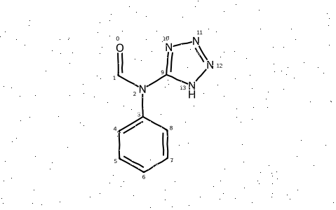 O=CN(c1ccccc1)c1nnn[nH]1